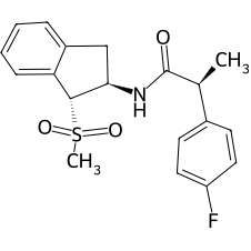 C[C@H](C(=O)N[C@@H]1Cc2ccccc2[C@H]1S(C)(=O)=O)c1ccc(F)cc1